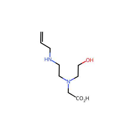 C=CCNCCN(CCO)CC(=O)O